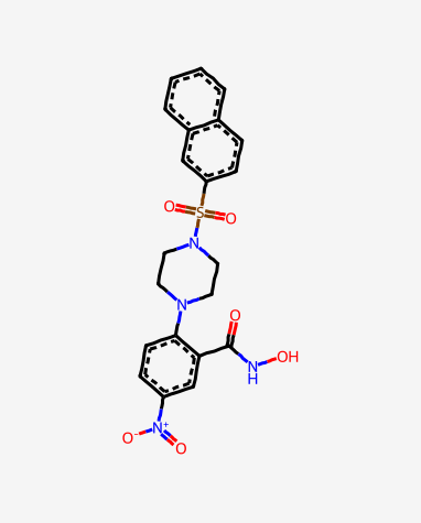 O=C(NO)c1cc([N+](=O)[O-])ccc1N1CCN(S(=O)(=O)c2ccc3ccccc3c2)CC1